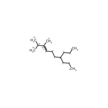 CCCC(CCC)CC/C=C(\C)C(C)C